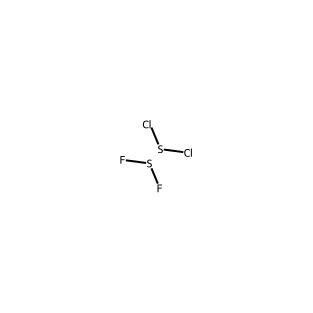 ClSCl.FSF